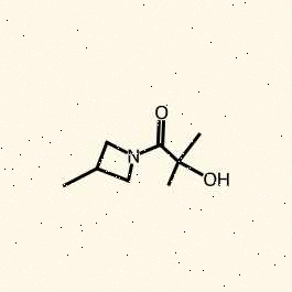 CC1CN(C(=O)C(C)(C)O)C1